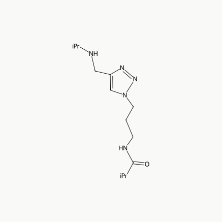 CC(C)NCc1cn(CCCNC(=O)C(C)C)nn1